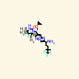 BC1(B)NC(=O)N([C@H](COC2CC2)c2cnn3cc([C@@H](N)CCC(C)(C)C(F)(F)F)nc3c2)C(B)(B)C1(F)F